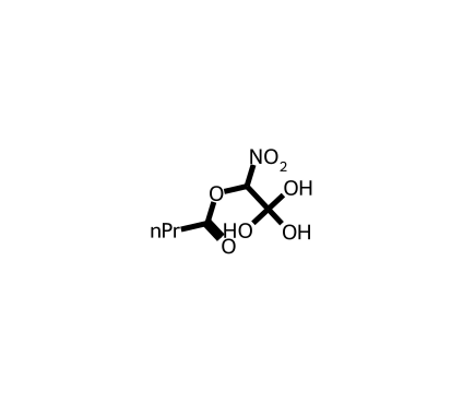 CCCC(=O)OC([N+](=O)[O-])C(O)(O)O